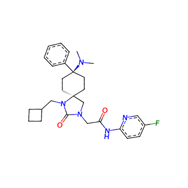 CN(C)[C@]1(c2ccccc2)CC[C@]2(CC1)CN(CC(=O)Nc1ccc(F)cn1)C(=O)N2CC1CCC1